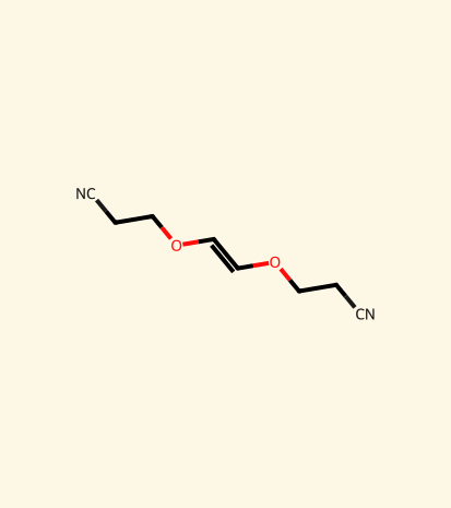 N#CCCO/C=C/OCCC#N